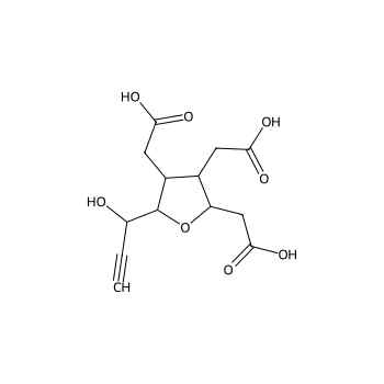 C#CC(O)C1OC(CC(=O)O)C(CC(=O)O)C1CC(=O)O